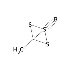 B#S12SC1(C)S2